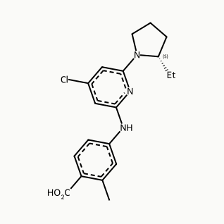 CC[C@H]1CCCN1c1cc(Cl)cc(Nc2ccc(C(=O)O)c(C)c2)n1